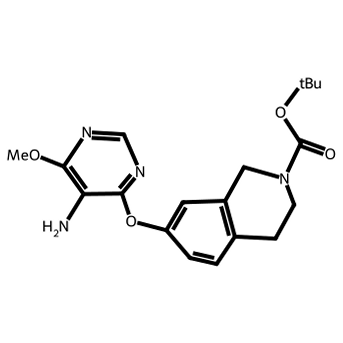 COc1ncnc(Oc2ccc3c(c2)CN(C(=O)OC(C)(C)C)CC3)c1N